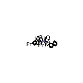 CC(C)c1cc(C(C)C)c(S(=O)(=O)O/N=C(\C(=O)C(C)(C)C)c2nc3ccc4ccccc4c3s2)c(C(C)C)c1